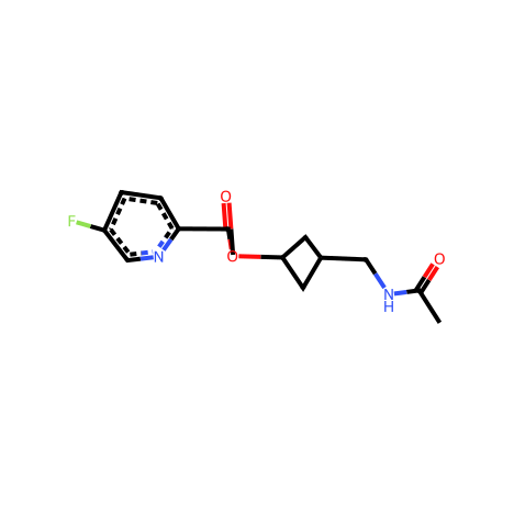 CC(=O)NCC1CC(OC(=O)c2ccc(F)cn2)C1